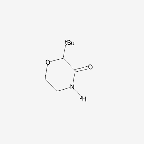 [2H]N1CCOC(C(C)(C)C)C1=O